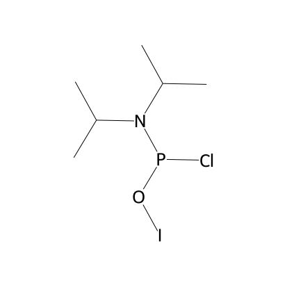 CC(C)N(C(C)C)P(Cl)OI